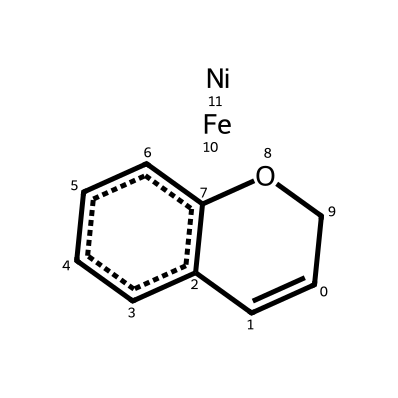 C1=Cc2ccccc2OC1.[Fe].[Ni]